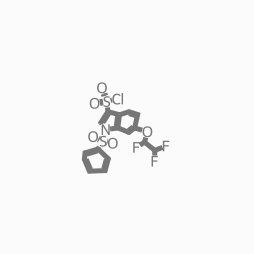 O=S(=O)(Cl)c1cn(S(=O)(=O)c2ccccc2)c2cc(OC(F)C(F)F)ccc12